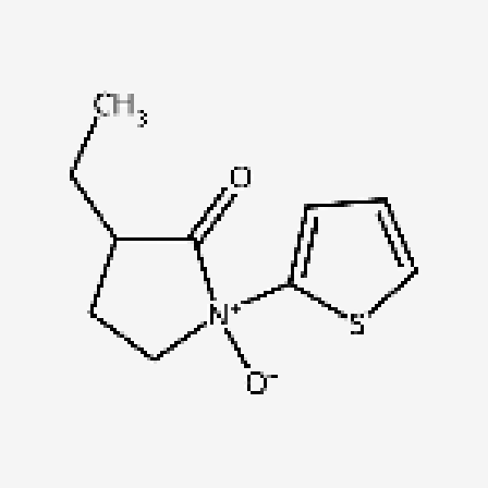 CCC1CC[N+]([O-])(c2cccs2)C1=O